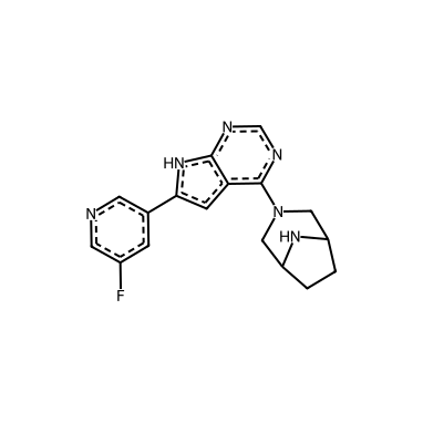 Fc1cncc(-c2cc3c(N4CC5CCC(C4)N5)ncnc3[nH]2)c1